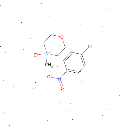 C[N+]1([O-])CCOCC1.O=[N+]([O-])c1ccc(Cl)cc1